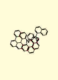 C1=CC2=CC=CC(c3ccccc3N(c3cc(-c4cccc5ccccc45)ccc3-c3ccccc3)c3ccccc3-c3cccc4oc5ccccc5c34)C2C(c2ccccc2)=C1